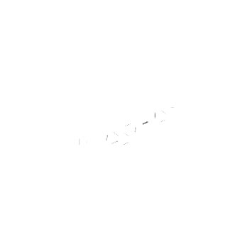 CCCc1ccc2c(ccc3cc(C#Cc4ccc(F)c(F)c4)ccc32)c1